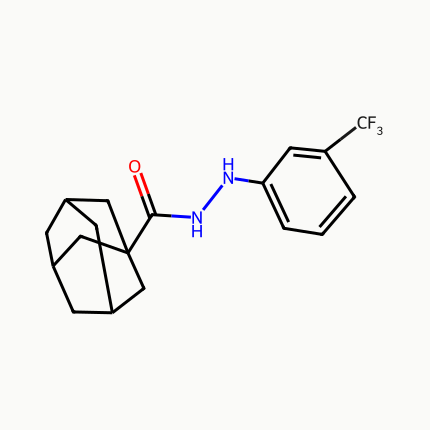 O=C(NNc1cccc(C(F)(F)F)c1)C12CC3CC(CC(C3)C1)C2